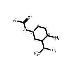 CN(C)C1CN(OC(=O)C(C)(C)C)CCC1N